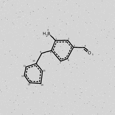 Bc1cc(C=O)ccc1Cc1ccccc1